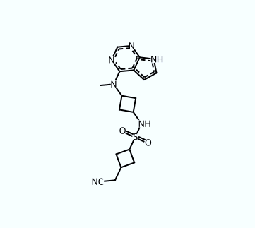 CN(c1ncnc2[nH]ccc12)C1CC(NS(=O)(=O)C2CC(CC#N)C2)C1